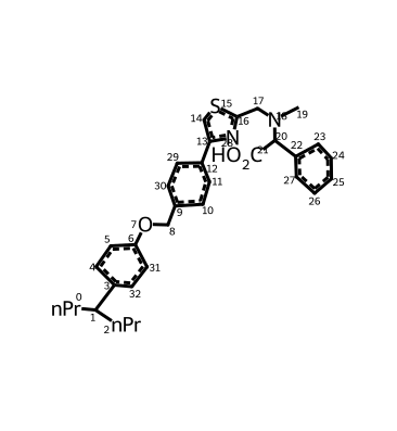 CCCC(CCC)c1ccc(OCc2ccc(-c3csc(CN(C)C(C(=O)O)c4ccccc4)n3)cc2)cc1